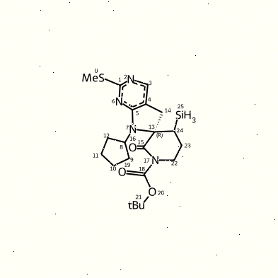 CSc1ncc2c(n1)N(C1CCCC1)[C@]1(C2)C(=O)N(C(=O)OC(C)(C)C)CCC1[SiH3]